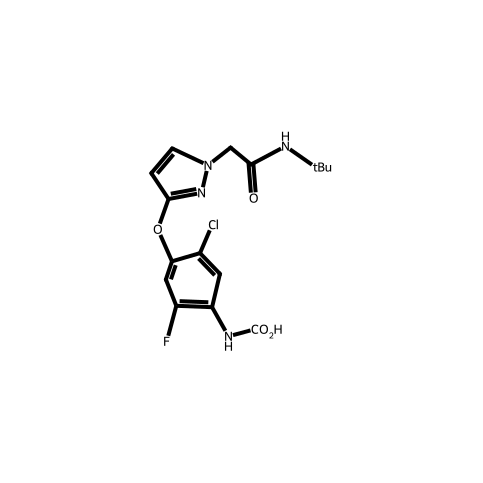 CC(C)(C)NC(=O)Cn1ccc(Oc2cc(F)c(NC(=O)O)cc2Cl)n1